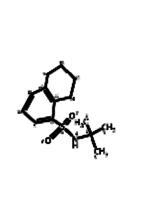 CC(C)(C)NS(=O)(=O)c1cccc2c1CCCC2